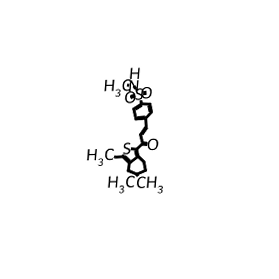 CCc1sc(C(=O)/C=C/c2ccc(S(=O)(=O)NC)cc2)c2c1CC(C)(C)CC2